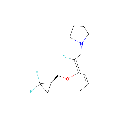 C/C=C\C(OC[C@H]1CC1(F)F)=C(\F)CN1CCCC1